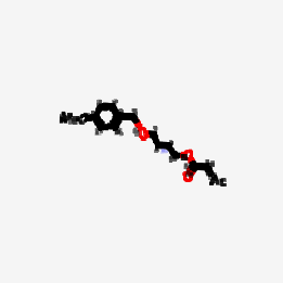 COc1ccc(COC/C=C/COC(=O)CC(C)=O)cc1